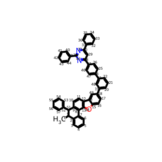 CC1c2ccccc2-c2c(ccc3c2oc2ccc(-c4cccc(-c5ccc(-c6cc(-c7ccccc7)nc(-c7ccccc7)n6)cc5)c4)cc23)C1c1ccccc1